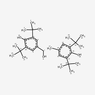 CC(C)(C)c1cc(CO)cc(C(C)(C)C)c1O.Cc1cc(C(C)(C)C)c(O)c(C(C)(C)C)c1